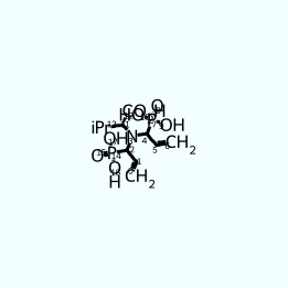 C=CC(N(C(C=C)P(=O)(O)O)[C@H](C(=O)O)C(C)C)P(=O)(O)O